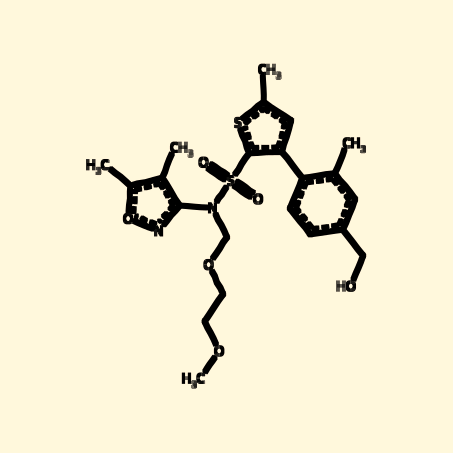 COCCOCN(c1noc(C)c1C)S(=O)(=O)c1sc(C)cc1-c1ccc(CO)cc1C